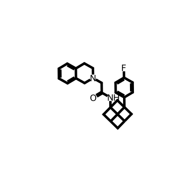 O=C(CN1CCc2ccccc2C1)NC12CC3CC4CC(c5ccc(F)cc5)(C1)C342